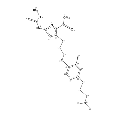 COC(=O)c1nc(NC(=O)OC(C)(C)C)sc1CCCOc1ccc(CCCN(C)C)cc1F